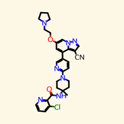 CC1(NC(=O)c2ncccc2Cl)CCN(c2ccc(-c3cc(OCCN4CCCC4)cn4ncc(C#N)c34)cn2)CC1